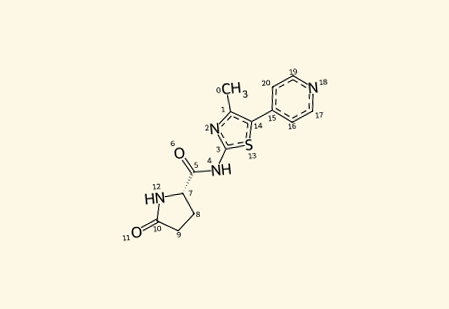 Cc1nc(NC(=O)[C@@H]2CCC(=O)N2)sc1-c1ccncc1